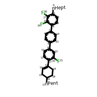 CCCCCCCc1ccc(-c2ccc(-c3ccc(C4=CCC(CCCCC)CC4)c(F)c3)cc2)c(F)c1F